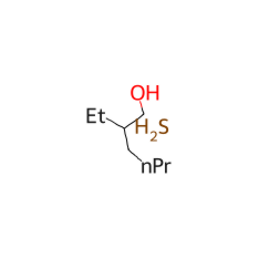 CCCCC(CC)CO.S